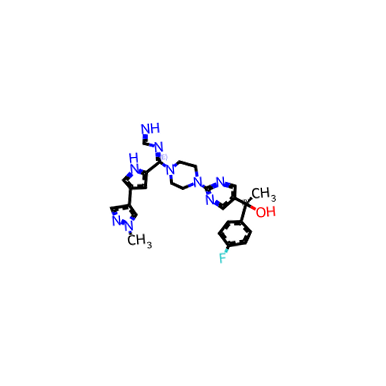 Cn1cc(-c2c[nH]c(/C(=N\C=N)N3CCN(c4ncc([C@](C)(O)c5ccc(F)cc5)cn4)CC3)c2)cn1